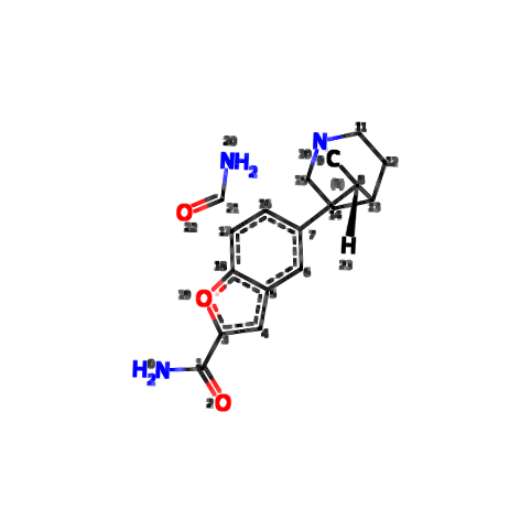 NC(=O)c1cc2cc([C@@H]3CN4CCC3CC4)ccc2o1.NC=O